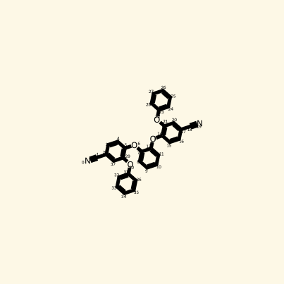 N#Cc1ccc(Oc2ccccc2Oc2ccc(C#N)cc2Oc2ccccc2)c(Oc2ccccc2)c1